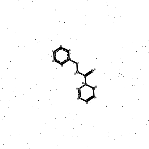 O=C(OCc1ccccc1)N1C=CC=C[N]1